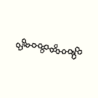 c1ccc2c(-n3c4ccccc4c4cc(-c5ccc(-c6ccc7c(c6)C6(CCCC6)c6cc(-c8ccc9c(c8)C8(CCCC8)c8cc(-c%10ccc(-c%11ccc%12c(c%11)c%11ccccc%11n%12-c%11cccc%12ccccc%11%12)cc%10)ccc8-9)ccc6-7)cc5)ccc43)cccc2c1